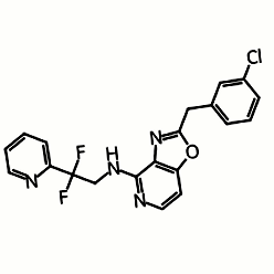 FC(F)(CNc1nccc2oc(Cc3cccc(Cl)c3)nc12)c1ccccn1